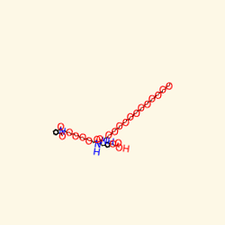 COCCOCCOCCOCCOCCOCCOCCOCCOCCOCCOCCOCCNC(=O)C(Cc1ccc(OCC(=O)O)cc1)NC(=O)CCOCCOCCOCCOCCN1C(=O)c2ccccc2C1=O